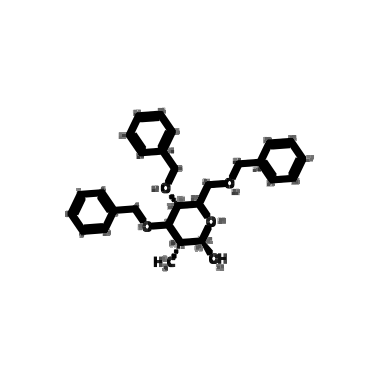 C[C@@H]1C(OCc2ccccc2)[C@H](OCc2ccccc2)C(COCc2ccccc2)O[C@H]1O